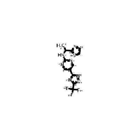 CC(Nc1ncc(-c2noc(C(F)(F)F)n2)cn1)c1nccs1